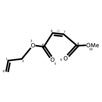 C=CCOC(=O)/C=C\C(=O)OC